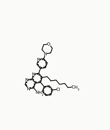 CCCCCCCc1c(-c2ccc(N3CCOCC3)nc2)nc2ncnc(N)c2c1-c1cccc(Cl)c1